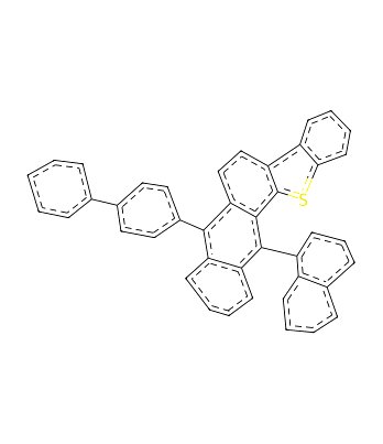 c1ccc(-c2ccc(-c3c4ccccc4c(-c4cccc5ccccc45)c4c3ccc3c5ccccc5sc34)cc2)cc1